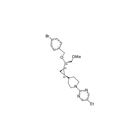 CCc1cnc(N2CCC([C@H]3C[C@H]3[C@H](COC)OCc3ccc(Br)cc3)CC2)nc1